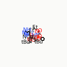 CCC(CC)COC(=O)C(C)NP(=O)(OC[C@H]1O[C@@](C#N)(c2ccc3c(N)ncnn23)[C@H](O[Si](C)(C)C(C)(C)C)[C@@H]1O[Si](C)(C)C(C)(C)C)Oc1ccccc1